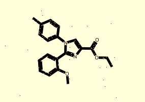 CCOC(=O)c1cn(-c2ccc(C)cc2)c(-c2ccccc2OC)n1